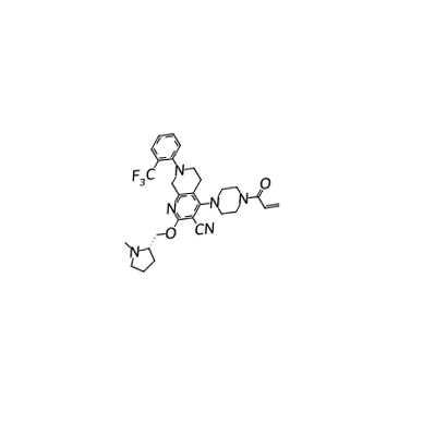 C=CC(=O)N1CCN(c2c(C#N)c(OC[C@@H]3CCCN3C)nc3c2CCN(c2ccccc2C(F)(F)F)C3)CC1